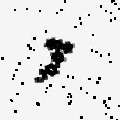 CC(C)(C)OC(=O)N1CCC(Oc2ccc(-n3c(-c4nccs4)nc4cccnc43)cc2)CC1